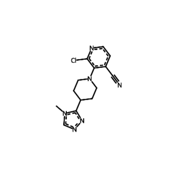 Cn1cnnc1C1CCN(c2c(C#N)ccnc2Cl)CC1